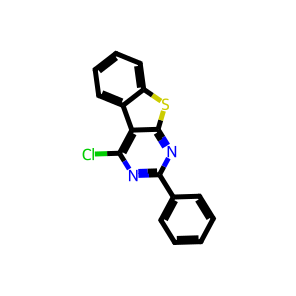 Clc1nc(-c2ccccc2)nc2sc3ccccc3c12